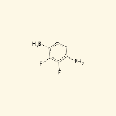 Bc1ccc(P)c(F)c1F